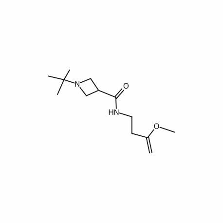 C=C(CCNC(=O)C1CN(C(C)(C)C)C1)OC